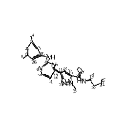 Cc1cc(C)cc(Nc2nccc(-c3cc(C(=O)NCCF)n(C)n3)n2)c1